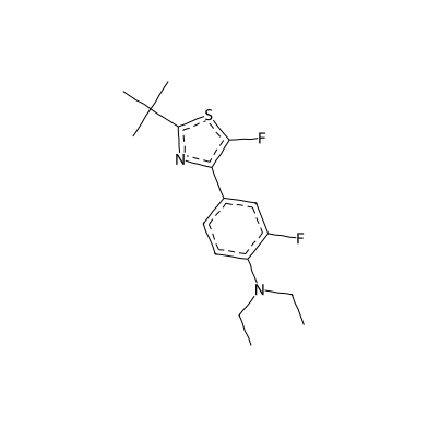 CCN(CC)c1ccc(-c2nc(C(C)(C)C)sc2F)cc1F